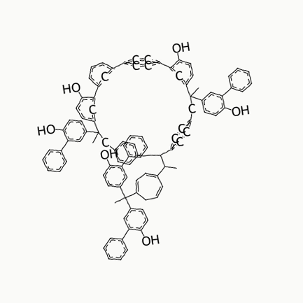 CC(C1=CC=C(C(C)(c2ccc(O)c(-c3ccccc3)c2)c2ccc(O)c(-c3ccccc3)c2)CC=C1)C1c2ccc(cc2)CC(C)(c2ccc(O)c(-c3ccccc3)c2)c2ccc(O)c(c2)-c2ccc(cc2)-c2cccc(c2)-c2cc(ccc2O)C(C)(c2ccc(O)c(-c3ccccc3)c2)Cc2ccc1cc2